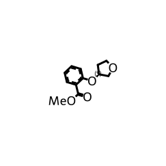 COC(=O)c1ccccc1O[C@H]1CCOC1